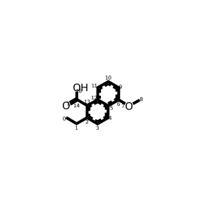 CCc1ccc2c(OC)cccc2c1C(=O)O